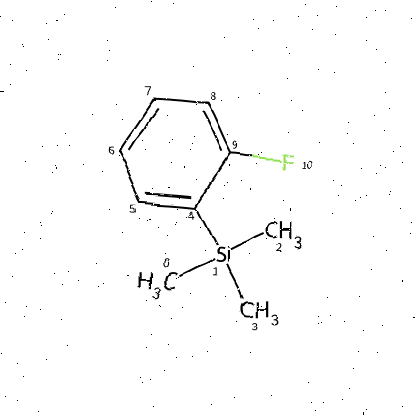 C[Si](C)(C)c1ccccc1F